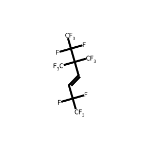 FC(F)(F)C(F)(F)/C=C/C(C(F)(F)F)(C(F)(F)F)C(F)(F)C(F)(F)F